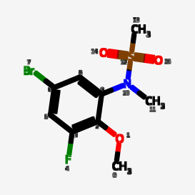 COc1c(F)cc(Br)cc1N(C)S(C)(=O)=O